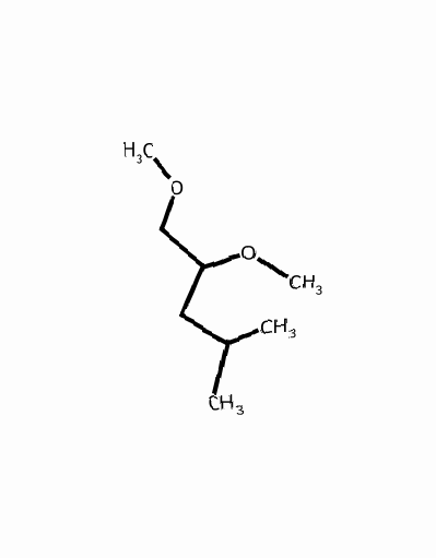 COCC(CC(C)C)OC